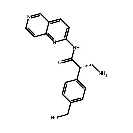 NC[C@@H](C(=O)Nc1ccc2cnccc2n1)c1ccc(CO)cc1